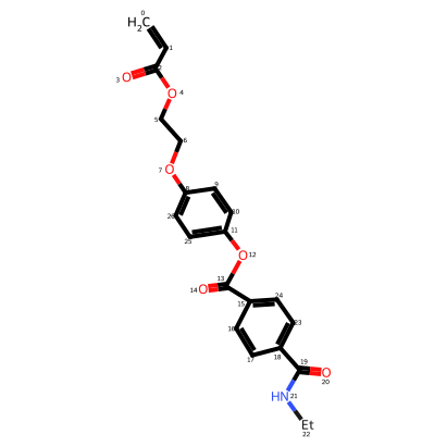 C=CC(=O)OCCOc1ccc(OC(=O)c2ccc(C(=O)NCC)cc2)cc1